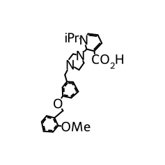 COc1ccccc1COc1cccc(CN2CCN(C3C(C(=O)O)=CC=CN3C(C)C)CC2)c1